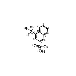 O=S(=O)(O)c1[c]c2ccccc2c(C(F)(F)F)c1